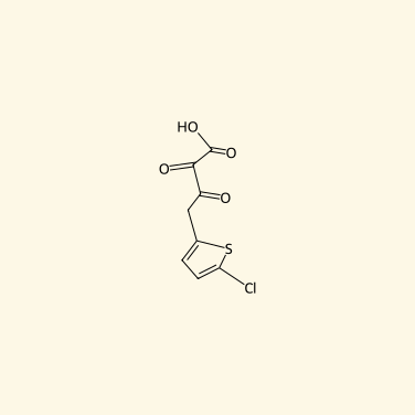 O=C(O)C(=O)C(=O)Cc1ccc(Cl)s1